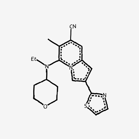 CCN(c1c(C)c(C#N)cc2cc(-c3nccs3)cn12)C1CCOCC1